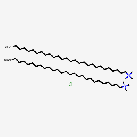 CCCCCCCCCCCCCCCCCCCCCCCCCCCCCCCCCCCCC[N+](C)(C)C.CCCCCCCCCCCCCCCCCCCCCCCCCCCCCCCCCCCC[N+](C)(C)C.[Cl-].[Cl-]